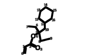 C=CC(=O)OC(CC)(CC)CC1CCCCC1